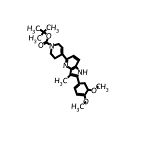 COC1=CC=C(c2[nH]c3ccc(C4=CCN(C(=O)OC(C)(C)C)CC4)nc3c2C)CC1OC